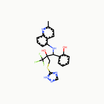 Cc1ccc2c(NC(c3ccccc3O)C(O)(CSc3ncn[nH]3)C(F)(F)F)cccc2n1